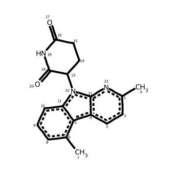 Cc1ccc2c3c(C)cccc3n(C3CCC(=O)NC3=O)c2n1